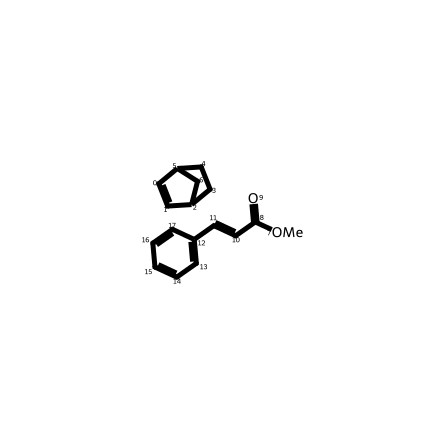 C1=CC2CCC1C2.COC(=O)C=Cc1ccccc1